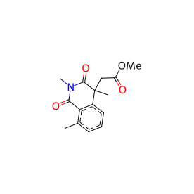 COC(=O)CC1(C)C(=O)N(C)C(=O)c2c(C)cccc21